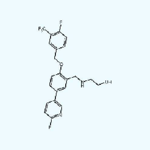 OCCNCc1cc(-c2ccc(F)nc2)ccc1OCc1ccc(F)c(C(F)(F)F)c1